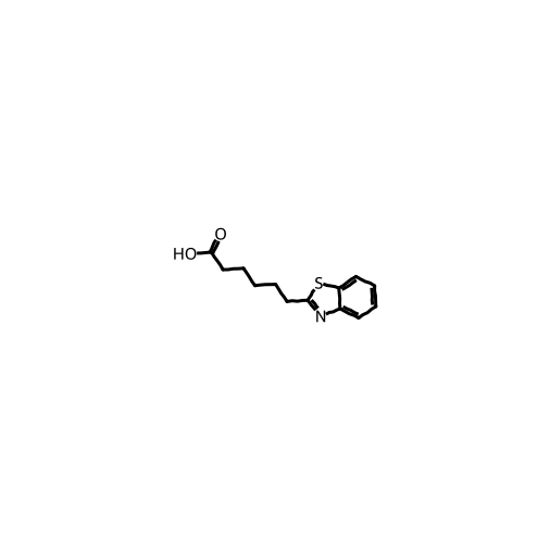 O=C(O)CCCCCc1nc2ccccc2s1